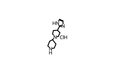 Cl.c1c[nH]c(C2CCN(C3CCNCC3)CC2)n1